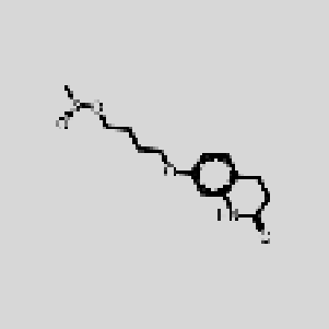 CS(=O)OCCCCOc1ccc2c(c1)NC(=O)CC2